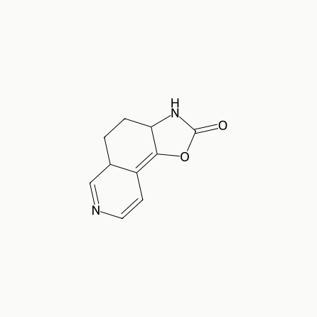 O=C1NC2CCC3C=NC=CC3=C2O1